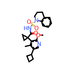 COc1ncc(C2CCC2)c(C)c1C1(C(=O)NS(=O)(=O)N2CCCc3ccccc32)CC1